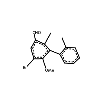 COc1c(Br)cc(C=O)c(C)c1-c1ccccc1C